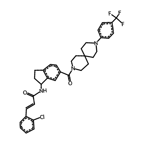 O=C(/C=C/c1ccccc1Cl)NC1CCc2ccc(C(=O)N3CCC4(CC3)CCN(c3ccc(C(F)(F)F)cc3)CC4)cc21